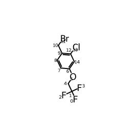 FC(F)(F)COc1ccc(CBr)c(Cl)c1